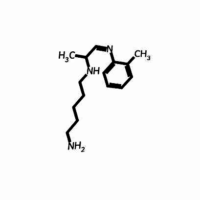 Cc1ccccc1/N=C\C(C)NCCCCCN